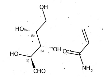 C=CC(N)=O.O=C[C@@H](O)[C@@H](O)[C@H](O)CO